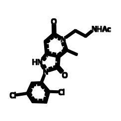 CC(=O)NCCn1c(C)c2c(=O)n(-c3cc(Cl)ccc3Cl)[nH]c2cc1=O